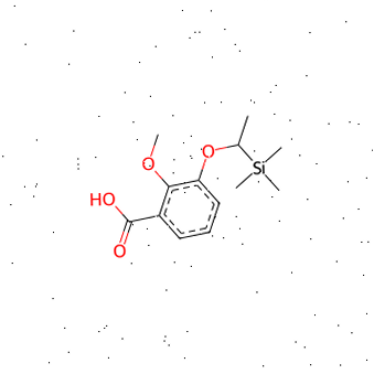 COc1c(OC(C)[Si](C)(C)C)cccc1C(=O)O